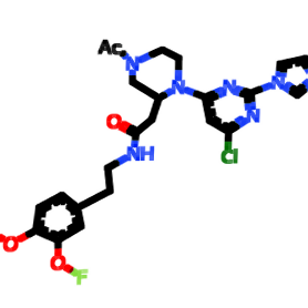 CC(=O)N1CCN(c2cc(Cl)nc(-n3ccnc3)n2)C(CC(=O)NCCc2ccc(OF)c(OF)c2)C1